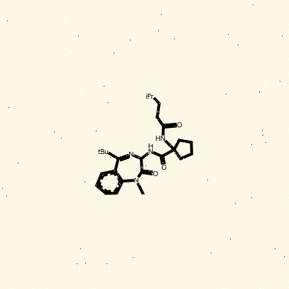 CC(C)CCC(=O)NC1(C(=O)NC2N=C(C(C)(C)C)c3ccccc3N(C)C2=O)CCCC1